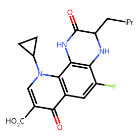 CC(C)CC1Nc2c(F)cc3c(=O)c(C(=O)O)cn(C4CC4)c3c2NC1=O